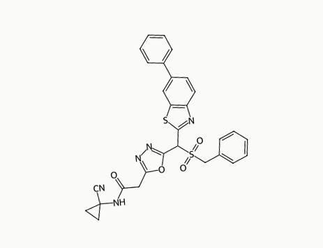 N#CC1(NC(=O)Cc2nnc(C(c3nc4ccc(-c5ccccc5)cc4s3)S(=O)(=O)Cc3ccccc3)o2)CC1